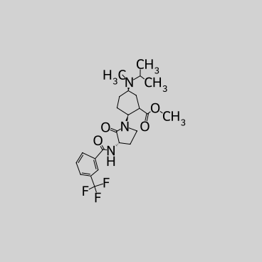 COC(=O)C1C[C@H](N(C)C(C)C)CC[C@@H]1N1CC[C@H](NC(=O)c2cccc(C(F)(F)F)c2)C1=O